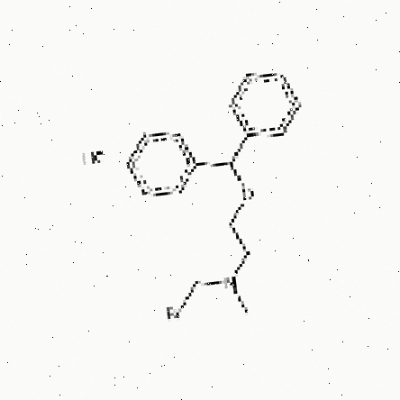 CN(CBr)CCOC(c1ccccc1)c1ccccc1.Cl